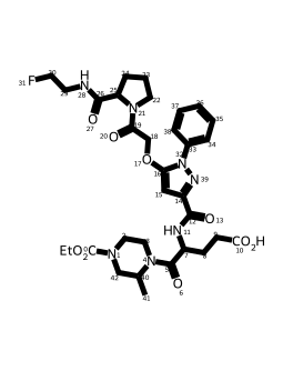 CCOC(=O)N1CCN(C(=O)C(CCC(=O)O)NC(=O)c2cc(OCC(=O)N3CCCC3C(=O)NCCF)n(-c3ccccc3)n2)C(C)C1